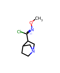 CO/N=C(\Cl)C1CN2CCC1C2